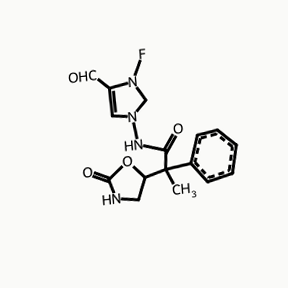 CC(C(=O)NN1C=C(C=O)N(F)C1)(c1ccccc1)C1CNC(=O)O1